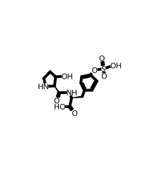 O=C(O)[C@H](Cc1ccc(OS(=O)(=O)O)cc1)NC(=O)[C@H]1NCCC1O